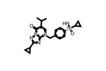 CC(C)c1cn(Cc2ccc([S@@](=N)(=O)C3CC3)cc2)c2nc(C3CC3)nn2c1=O